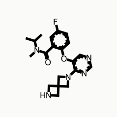 CC(C)N(C)C(=O)c1cc(F)ccc1Oc1cncnc1N1CC2(CNC2)C1